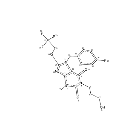 Cn1c(=O)n(CCCO)c(=O)c2c1nc(OCC(F)(F)F)n2Cc1ccc(F)cc1